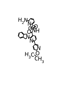 CC(C)Oc1ccc(-c2ccc(C(=O)NS(=O)(=O)c3cccc(N)n3)c(N3Cc4ccccc4C3)n2)cn1